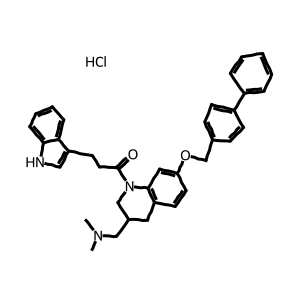 CN(C)CC1Cc2ccc(OCc3ccc(-c4ccccc4)cc3)cc2N(C(=O)CCc2c[nH]c3ccccc23)C1.Cl